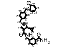 NC(=O)c1cccc(CNC(=O)c2cn(Cc3ccc(Cn4ccccc4=O)cc3)nc2C2CC2)c1